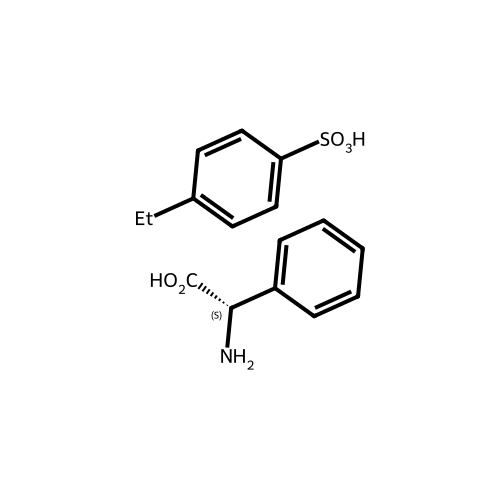 CCc1ccc(S(=O)(=O)O)cc1.N[C@H](C(=O)O)c1ccccc1